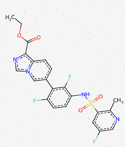 CCOC(=O)c1ncn2cc(-c3c(F)ccc(NS(=O)(=O)c4cc(F)cnc4C)c3F)ccc12